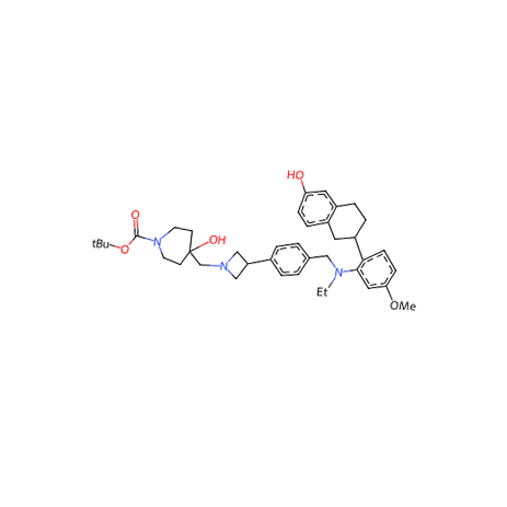 CCN(Cc1ccc(C2CN(CC3(O)CCN(C(=O)OC(C)(C)C)CC3)C2)cc1)c1cc(OC)ccc1C1CCc2cc(O)ccc2C1